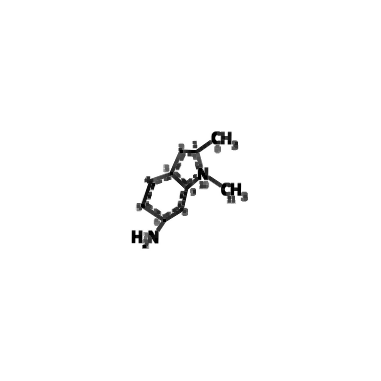 Cc1cc2ccc(N)cc2n1C